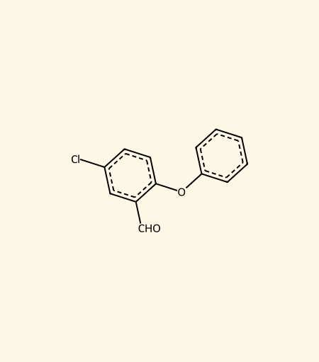 O=Cc1cc(Cl)ccc1Oc1ccccc1